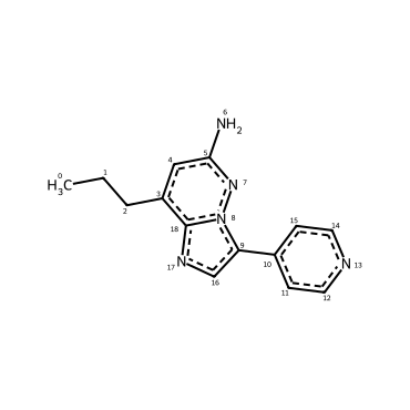 CCCc1cc(N)nn2c(-c3ccncc3)cnc12